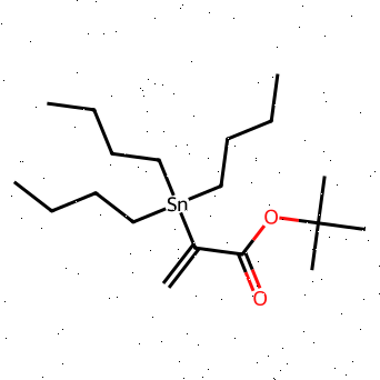 C=[C](C(=O)OC(C)(C)C)[Sn]([CH2]CCC)([CH2]CCC)[CH2]CCC